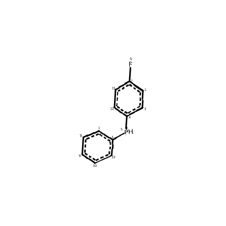 Fc1ccc(Pc2ccccc2)cc1